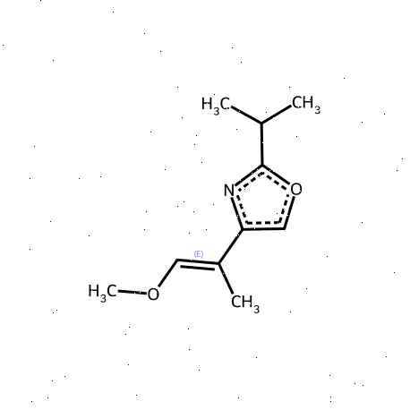 CO/C=C(\C)c1coc(C(C)C)n1